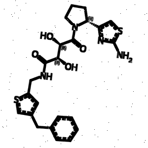 Nc1nc([C@H]2CCCN2C(=O)[C@H](O)[C@@H](O)C(=O)NCc2cc(Cc3ccccc3)cs2)cs1